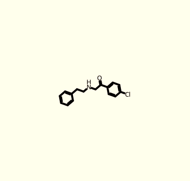 O=C(CNCCc1ccccc1)c1ccc(Cl)cc1